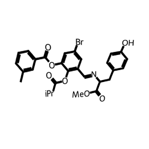 COC(=O)C(Cc1ccc(O)cc1)N=Cc1cc(Br)cc(OC(=O)c2cccc(C)c2)c1OC(=O)C(C)C